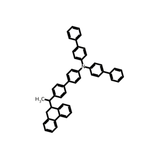 CC(c1ccc(-c2ccc(N(c3ccc(-c4ccccc4)cc3)c3ccc(-c4ccccc4)cc3)cc2)cc1)C1Cc2ccccc2-c2ccccc21